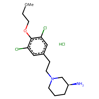 COCCOc1c(Cl)cc(CCN2CCC[C@H](N)C2)cc1Cl.Cl